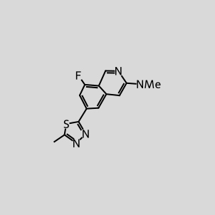 CNc1cc2cc(-c3nnc(C)s3)cc(F)c2cn1